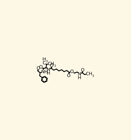 CCC(=O)NCCOC(=O)CCCCCCC(=O)N[C@H](C(=O)NC(C=O)Cc1ccccc1)C(C)C